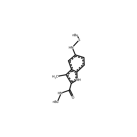 CCCCNC(=O)c1[nH]c2ccc(NSCCCC)cc2c1C